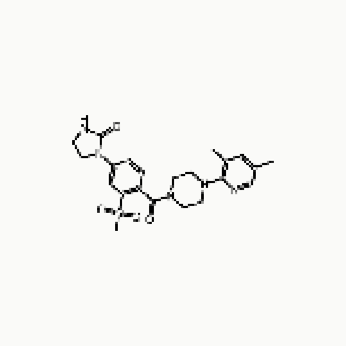 Cc1cnc(N2CCN(C(=O)c3ccc(N4CCNC4=O)cc3S(C)(=O)=O)CC2)c(C)c1